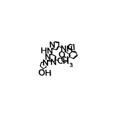 Cc1cc(Nc2cc(NC(=O)c3c(Cl)cccc3Cl)ccn2)nc(N2CCC(O)C2)n1